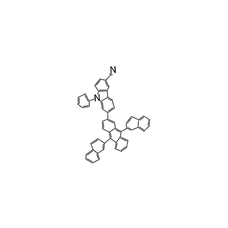 N#Cc1ccc2c(c1)c1ccc(-c3ccc4c(-c5ccc6ccccc6c5)c5ccccc5c(-c5ccc6ccccc6c5)c4c3)cc1n2-c1ccccc1